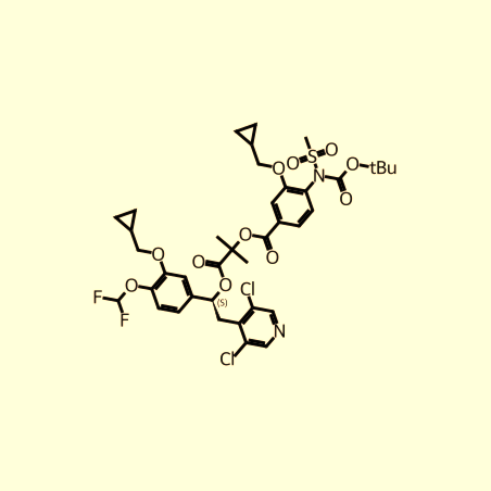 CC(C)(C)OC(=O)N(c1ccc(C(=O)OC(C)(C)C(=O)O[C@@H](Cc2c(Cl)cncc2Cl)c2ccc(OC(F)F)c(OCC3CC3)c2)cc1OCC1CC1)S(C)(=O)=O